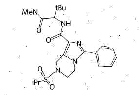 CNC(=O)C(NC(=O)c1nc(-c2ccccc2)n2c1CN(S(=O)(=O)C(C)C)CC2)C(C)(C)C